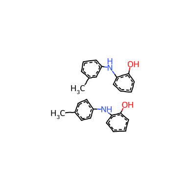 Cc1ccc(Nc2ccccc2O)cc1.Cc1cccc(Nc2ccccc2O)c1